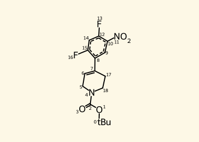 CC(C)(C)OC(=O)N1CC=C(c2cc([N+](=O)[O-])c(F)cc2F)CC1